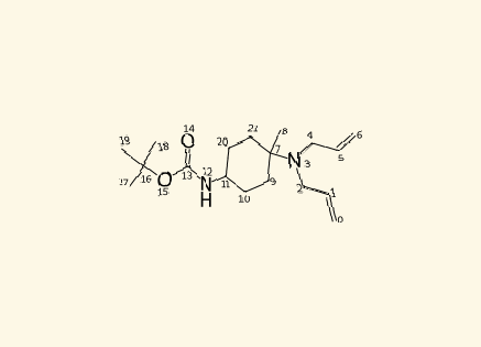 C=CCN(CC=C)C1(C)CCC(NC(=O)OC(C)(C)C)CC1